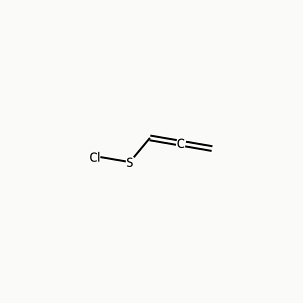 C=C=CSCl